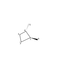 C[C@H]1[CH]C[C@@H]1C